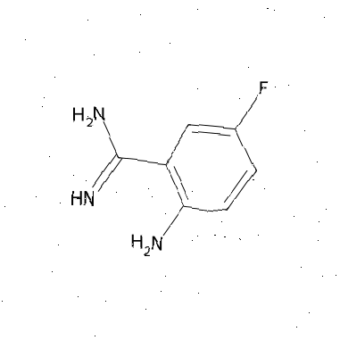 N=C(N)c1cc(F)ccc1N